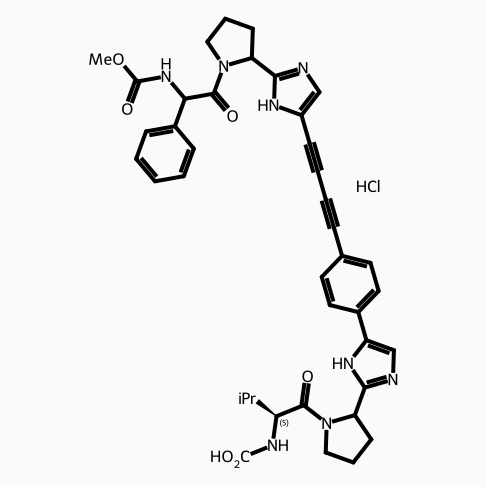 COC(=O)NC(C(=O)N1CCCC1c1ncc(C#CC#Cc2ccc(-c3cnc(C4CCCN4C(=O)[C@@H](NC(=O)O)C(C)C)[nH]3)cc2)[nH]1)c1ccccc1.Cl